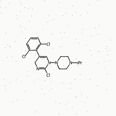 CC(C)N1CCN(N2C=C(c3c(Cl)cccc3Cl)CN=C2Cl)CC1